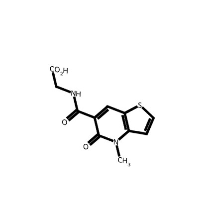 Cn1c(=O)c(C(=O)NCC(=O)O)cc2sccc21